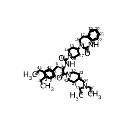 CCc1ccc(C[C@@H](NC(=O)N2CCC(N3CCc4ccccc4NC3=O)CC2)C(=O)N2CCC(CN(CC)CC)CC2)cc1CC